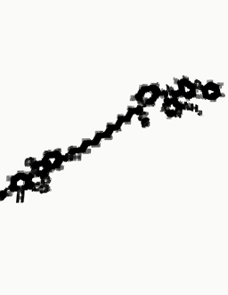 Nc1ncnc2c1c(-c1ccc(Oc3ccccc3)cc1)nn2[C@@H]1CCCN(C(=C=O)CCCCCCCCCCCNc2ccc3c(c2)C(=O)N(C2CCC(=C=O)NC2=C=O)C3=O)C1